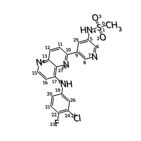 CS(=O)(=O)Nc1cncc(-c2ccc3nccc(Nc4ccc(F)c(Cl)c4)c3n2)c1